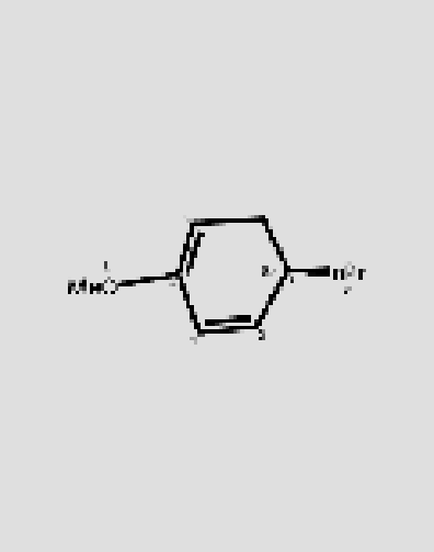 CCC[C@H]1C=CC(OC)=CC1